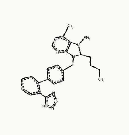 CCCCC1N(N)c2c(C)ccnc2N1Cc1ccc(-c2ccccc2-c2nnn[nH]2)cc1